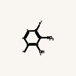 Cc1ccc(F)c([N+](=O)[O-])c1O